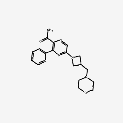 NC(=O)c1ncc(N2CC(CN3CCOCC3)C2)nc1-c1ccccn1